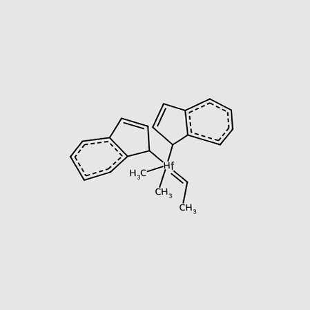 C[CH]=[Hf]([CH3])([CH3])([CH]1C=Cc2ccccc21)[CH]1C=Cc2ccccc21